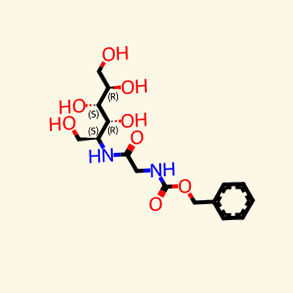 O=C(CNC(=O)OCc1ccccc1)N[C@@H](CO)[C@@H](O)[C@H](O)[C@H](O)CO